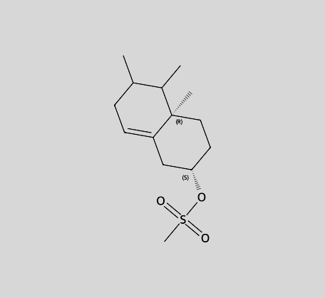 CC1CC=C2C[C@@H](OS(C)(=O)=O)CC[C@]2(C)C1C